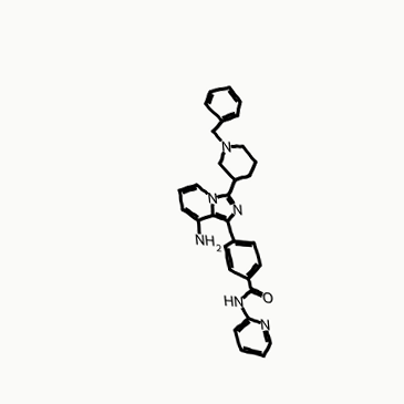 Nc1cccn2c(C3CCCN(Cc4ccccc4)C3)nc(-c3ccc(C(=O)Nc4ccccn4)cc3)c12